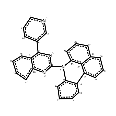 c1cncc(-c2nc(N3c4ccccc4-c4cccc5cccc3c45)nc3ccccc23)c1